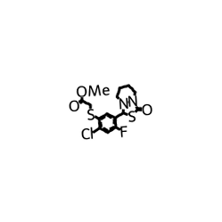 COC(=O)CSc1cc(C2SC(=O)N3CCCCN23)c(F)cc1Cl